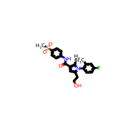 Cc1cc(F)ccc1-n1c(CCO)cc(C(=O)Nc2ccc(S(C)(=O)=O)cc2)c1C